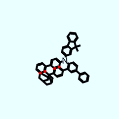 CC1(C)c2ccccc2-c2ccc(N(c3ccc(-c4ccccc4)cc3)c3ccc(-c4ccccc4)cc3-c3ccc(C45CC6CC(CC(C6)C4)C5)cc3)cc21